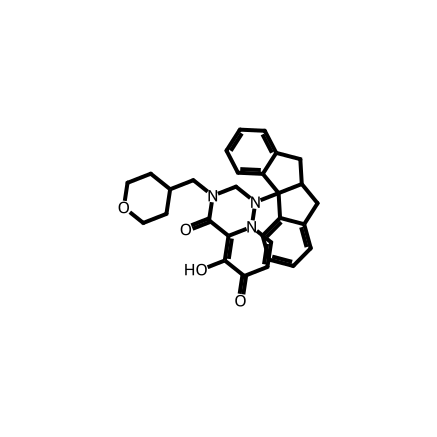 O=C1c2c(O)c(=O)ccn2N(C23c4ccccc4CC2Cc2ccccc23)CN1CC1CCOCC1